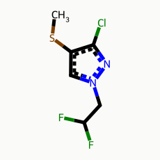 CSc1cn(CC(F)F)nc1Cl